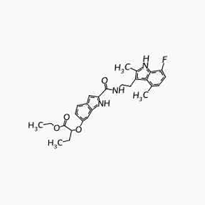 CCOC(=O)C(CC)Oc1ccc2cc(C(=O)NCCc3c(C)[nH]c4c(F)ccc(C)c34)[nH]c2c1